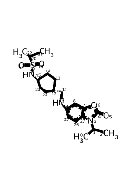 CC(C)n1c(=O)oc2cc(NC[C@H]3CC[C@H](NS(=O)(=O)C(C)C)CC3)ccc21